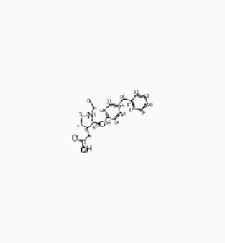 CCN1CCC(CC(=O)O)C1Oc1ccc(Cc2ccccc2)cc1